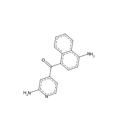 Nc1cc(C(=O)c2ccc(N)c3ccccc23)ccn1